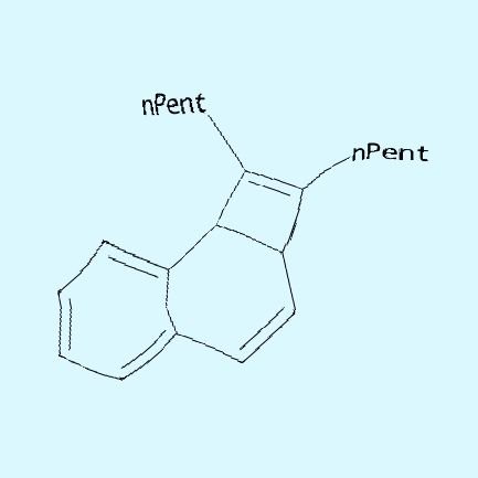 CCCCCC1=C(CCCCC)C2c3ccccc3C=CC12